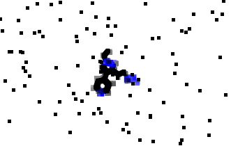 CCc1nn(CC)cc1-c1ccncc1.N